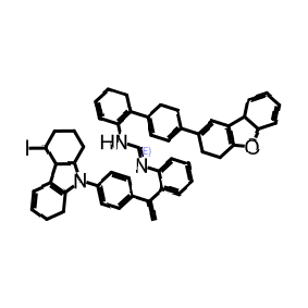 C=C(c1ccc(N2C3=C(C=CCC3)C3C(I)CCCC32)cc1)c1ccccc1/N=C/NC1=C(C2=CC=C(C3=CC4=C(CC3)OC3C=CC=CC43)CC2)CCC=C1